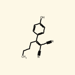 CCCCC(=C(C#N)C#N)c1ccc(O)cc1